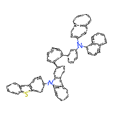 c1cc(-c2ccccc2-c2ccc3c4ccccc4n(-c4ccc5c(c4)sc4ccccc45)c3c2)cc(N(c2ccc3ccccc3c2)c2cccc3ccccc23)c1